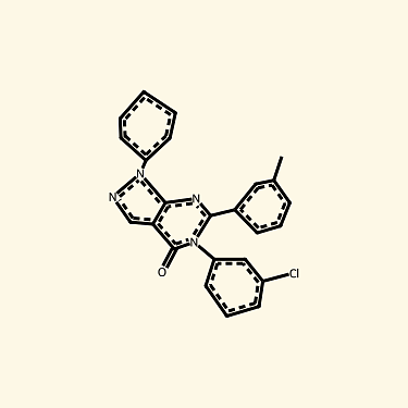 Cc1cccc(-c2nc3c(cnn3-c3ccccc3)c(=O)n2-c2cccc(Cl)c2)c1